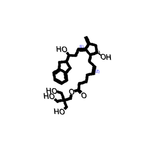 C=C1C[C@H](O)C(C/C=C\CCCC(=O)OCC(CO)(CO)CO)/C1=C\CC(O)C1Cc2ccccc2C1